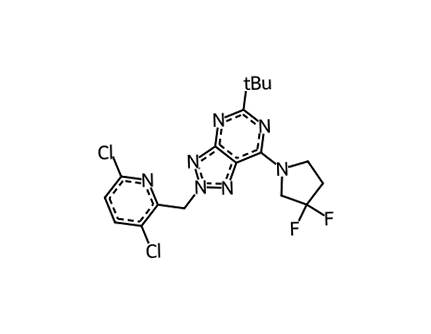 CC(C)(C)c1nc(N2CCC(F)(F)C2)c2nn(Cc3nc(Cl)ccc3Cl)nc2n1